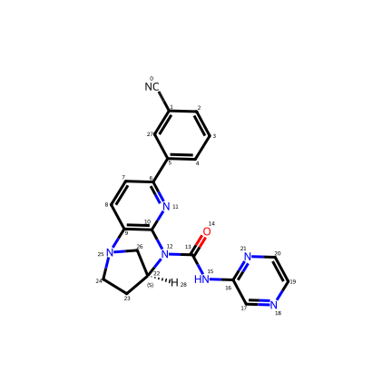 N#Cc1cccc(-c2ccc3c(n2)N(C(=O)Nc2cnccn2)[C@H]2CCN3C2)c1